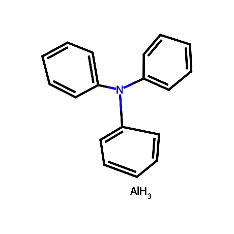 [AlH3].c1ccc(N(c2ccccc2)c2ccccc2)cc1